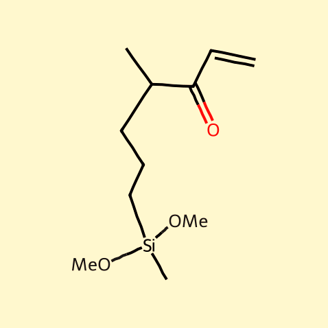 C=CC(=O)C(C)CCC[Si](C)(OC)OC